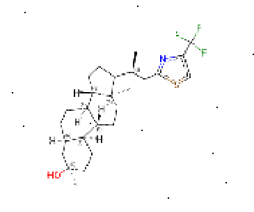 C[C@@H](Cc1nc(C(F)(F)F)cs1)C1CC[C@H]2[C@@H]3CC[C@@H]4C[C@](C)(O)CC[C@@H]4[C@H]3CC[C@]12C